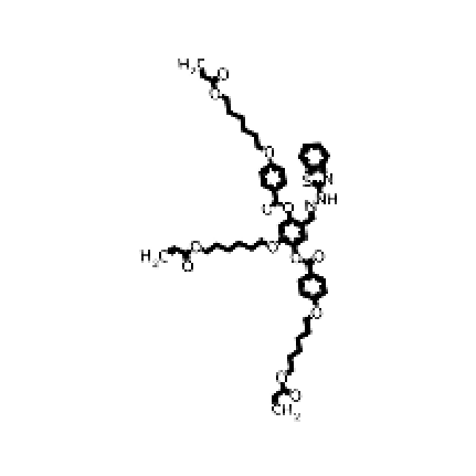 C=CC(=O)OCCCCCCOc1ccc(C(=O)Oc2cc(OCCCCCCOC(=O)C=C)c(OC(=O)c3ccc(OCCCCCCOC(=O)C=C)cc3)cc2/C=N/Nc2nc3ccccc3s2)cc1